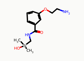 C[Si](C)(O)CNC(=O)c1cccc(OCCN)c1